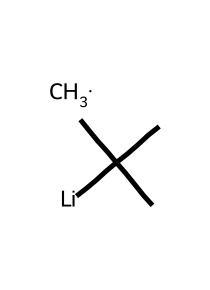 [CH3].[Li][C](C)(C)C